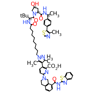 Cc1ncsc1-c1ccc([C@H](C)NC(=O)[C@@H]2C[C@@H](O)CN2C(=O)[C@@H](NC(=O)CCCCCCCCCn2nc(C)c(-c3ccc(N4CCc5cccc(C(=O)Nc6nc7ccccc7s6)c5C4)nc3C(=O)O)c2C)C(C)(C)C)cc1